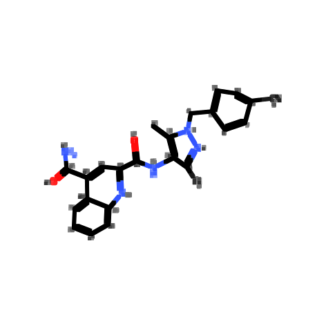 CCc1nn(Cc2ccc(C#N)cc2)c(C)c1NC(=O)c1cc(C(N)=O)c2ccccc2n1